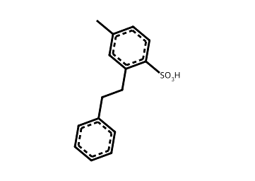 Cc1ccc(S(=O)(=O)O)c(CCc2ccccc2)c1